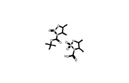 CC1OS(=O)(=O)N(C(=O)O)C1C.CC1OS(=O)N(C(=O)OC(C)(C)C)C1C